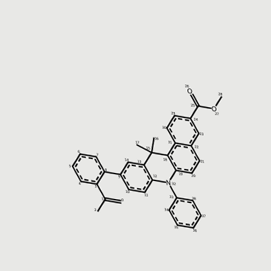 C=C(C)c1ccccc1-c1ccc2c(c1)C(C)(C)c1c(ccc3cc(C(=O)OC)ccc13)N2c1ccccc1